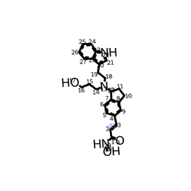 O=C(/C=C/c1ccc2c(c1)CC[C@@H]2N(CCCO)CCc1c[nH]c2ccccc12)NO